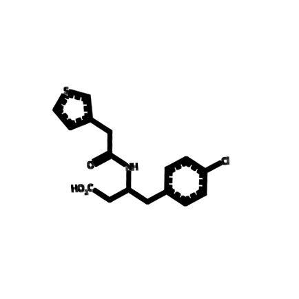 O=C(O)CC(Cc1ccc(Cl)cc1)NC(=O)Cc1ccsc1